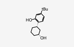 CC(C)(C)c1ccc([C@H]2CCC[C@@H](O)C2)c(O)c1